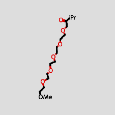 COCCOCCOCCOCCOCCOCC(=O)C(C)C